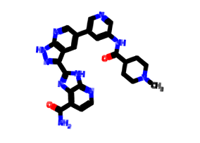 CN1CCC(C(=O)Nc2cncc(-c3cnc4[nH]nc(-c5nc6c(C(N)=O)ccnc6[nH]5)c4c3)c2)CC1